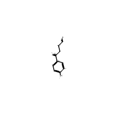 O=C[CH]CC(=O)c1ccc(Cl)cc1